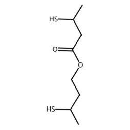 CC(S)CCOC(=O)CC(C)S